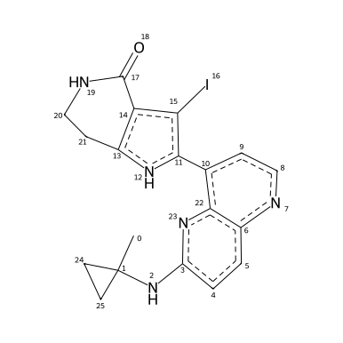 CC1(Nc2ccc3nccc(-c4[nH]c5c(c4I)C(=O)NCC5)c3n2)CC1